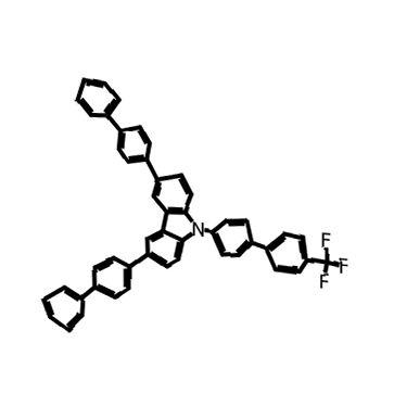 FC(F)(F)c1ccc(-c2ccc(-n3c4ccc(-c5ccc(-c6ccccc6)cc5)cc4c4cc(-c5ccc(-c6ccccc6)cc5)ccc43)cc2)cc1